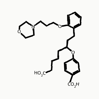 O=C(O)CCCCC(CCc1ccccc1OCCCN1CCOCC1)Oc1ccc(C(=O)O)cc1